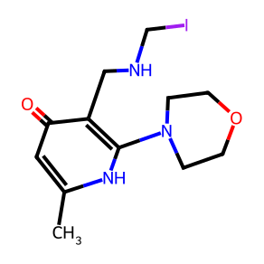 Cc1cc(=O)c(CNCI)c(N2CCOCC2)[nH]1